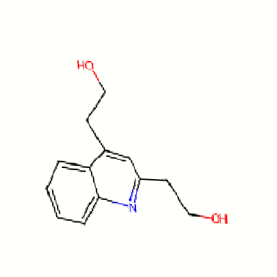 OCCc1cc(CCO)c2ccccc2n1